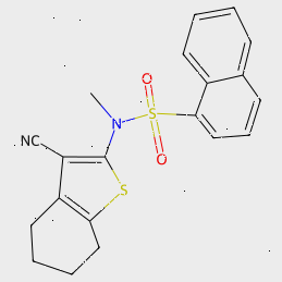 CN(c1sc2c(c1C#N)CCCC2)S(=O)(=O)c1cccc2ccccc12